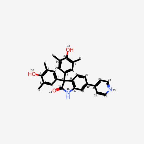 Cc1cc(C2(c3cc(C)c(O)c(C)c3)C(=O)Nc3cc(-c4ccncc4)ccc32)cc(C)c1O